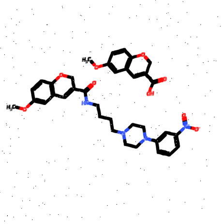 COc1ccc2c(c1)C=C(C(=O)NCCCCN1CCN(c3cccc([N+](=O)[O-])c3)CC1)CO2.COc1ccc2c(c1)C=C(C(=O)O)CO2